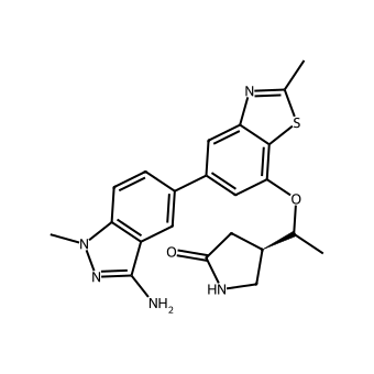 Cc1nc2cc(-c3ccc4c(c3)c(N)nn4C)cc(OC(C)[C@H]3CNC(=O)C3)c2s1